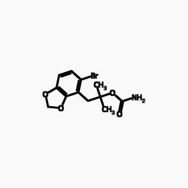 CC(C)(Cc1c(Br)ccc2c1OCO2)OC(N)=O